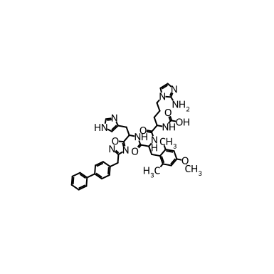 COc1cc(C)c(CC(NC(=O)C(CCCn2ccnc2N)NC(=O)O)C(=O)NC(Cc2c[nH]cn2)c2nc(Cc3ccc(-c4ccccc4)cc3)no2)c(C)c1